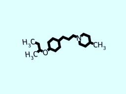 CCC(C)OC1CCC(CCCN2CCC(C)CC2)CC1